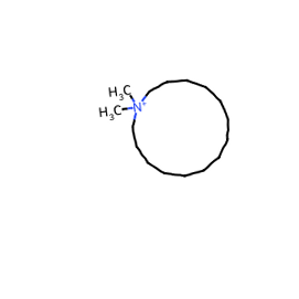 C[N+]1(C)CCCCCCCCCCCCCC1